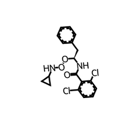 O=C(N[C@H](Cc1ccccc1)OONC1CC1)c1c(Cl)cccc1Cl